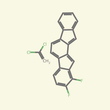 C=C(Cl)Cl.Fc1ccc2c(c1F)C=c1c-2ccc2c1=Cc1ccccc1-2